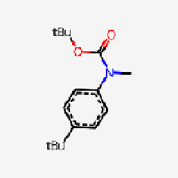 CN(C(=O)OC(C)(C)C)c1ccc(C(C)(C)C)cc1